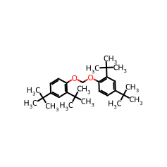 CC(C)(C)c1ccc(OCOc2ccc(C(C)(C)C)cc2C(C)(C)C)c(C(C)(C)C)c1